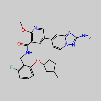 COc1ncc(-c2ccn3nc(N)nc3c2)cc1C(=O)NCc1c(F)cccc1OC1CCC(C)C1